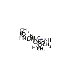 CNC(=O)c1ccc(-n2cnc3cc(Nc4ccc(C)nn4)ccc32)nc1N/C(C)=C\C(=N)OC